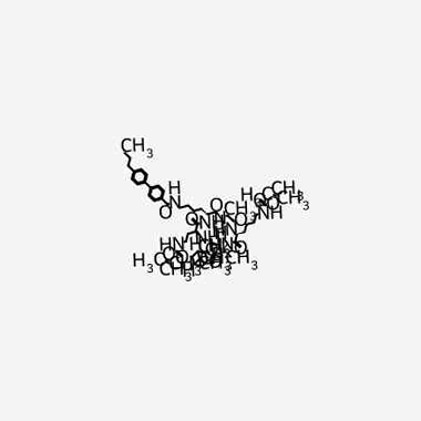 CCCCc1ccc(-c2ccc(C(=O)NCCCC[C@H](NC(=O)[C@@H](N)CCNC(=O)OC(C)(C)C)C(=O)N[C@@H](C)C(=O)N[C@@H](CCCCNC(=O)OC(C)(C)C)C(=O)N[C@@H](C)B3OC4C[C@@H]5C[C@@H](C5(C)C)[C@]4(C)O3)cc2)cc1